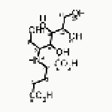 O=C(O)CC[C@H](NC(CO)C(O)C(O)C(O)CO)C(=O)O